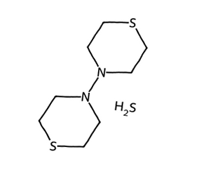 C1CN(N2CCSCC2)CCS1.S